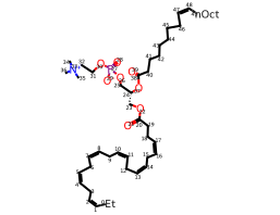 CC/C=C\C/C=C\C/C=C\C/C=C\C/C=C\C/C=C\CCC(=O)OC[C@H](COP(=O)([O-])OCC[N+](C)(C)C)OC(=O)CCCCCCC/C=C\CCCCCCCC